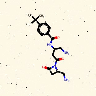 CC(C)(C)c1ccc(C(=O)NC(CN)CC(=O)N2C(=O)CC2CN)cc1